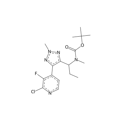 CCC(c1nn(C)nc1-c1ccnc(Cl)c1F)N(C)C(=O)OC(C)(C)C